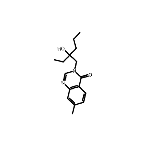 CCCC(O)(CC)Cn1cnc2cc(C)ccc2c1=O